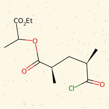 CCOC(=O)C(C)OC(=O)[C@H](C)C[C@@H](C)C(=O)Cl